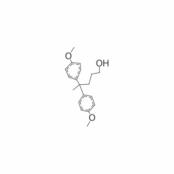 COc1ccc(C(C)(CCCO)c2ccc(OC)cc2)cc1